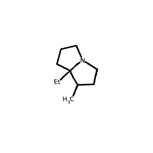 CCC12CCCN1CCC2C